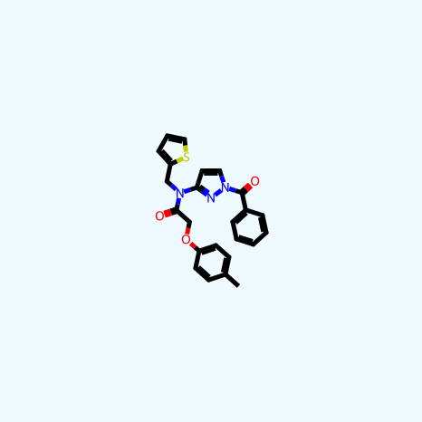 Cc1ccc(OCC(=O)N(Cc2cccs2)c2ccn(C(=O)c3ccccc3)n2)cc1